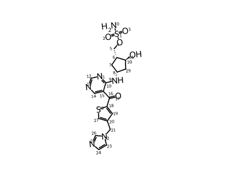 NS(=O)(=O)OC[C@H]1C[C@@H](Nc2ncncc2C(=O)c2cc(Cn3ccnc3)cs2)C[C@@H]1O